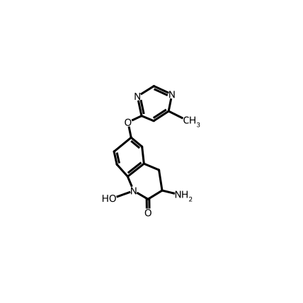 Cc1cc(Oc2ccc3c(c2)CC(N)C(=O)N3O)ncn1